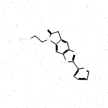 COCCN1C(=O)Cc2cc3nc(-c4ccccn4)[nH]c3cc21